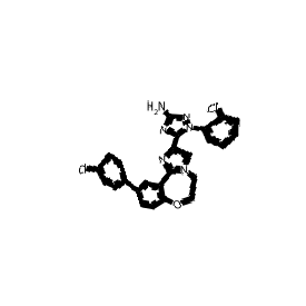 Nc1nc(-c2cn3c(n2)-c2cc(-c4ccc(Cl)cc4)ccc2OCC3)n(-c2ccccc2Cl)n1